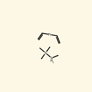 C=[CH][Pt][CH]=C.C[SiH2][Si](C)(C)C